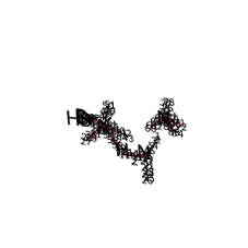 Br.CCCCCCCCC(N)(CCCCCCCC)CCCCCCCC.CCCCCCCC[N+](CCCCCCCC)(CCCCCCCC)CCCCCCCC.CCCCCC[N+](CCCCCC)(CCCCCC)CCCCCC.[Br-].[Br-]